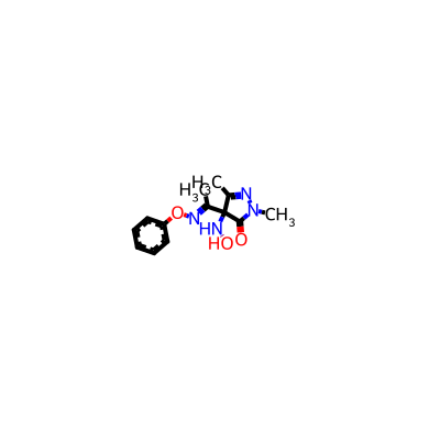 CC1=NN(C)C(=O)C1(NO)/C(C)=N/Oc1ccccc1